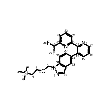 C[Si](C)(C)CCOCn1ncc2cc(-c3cccnc3-c3cccc(C(F)F)n3)ccc21